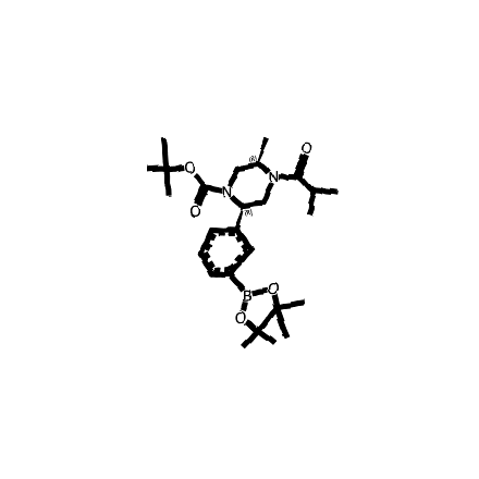 CC(C)C(=O)N1C[C@@H](c2cccc(B3OC(C)(C)C(C)(C)O3)c2)N(C(=O)OC(C)(C)C)C[C@H]1C